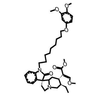 CC[C@H]1CN2CC[C@]3(C(=O)N(CCCCCCCCCOc4ccc(OC)c(OC)c4)c4ccccc43)C2C[C@@H]1/C(=C\OC)C(=O)OC